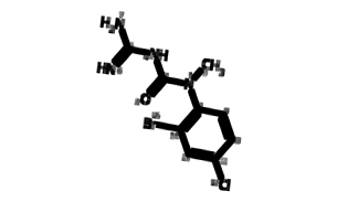 CN(C(=O)NC(=N)N)c1ccc(Cl)cc1Br